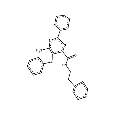 Nc1nc(-c2ccccn2)nc(C(=O)NCCc2ccncc2)c1Oc1ccccc1